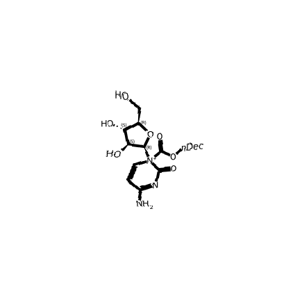 CCCCCCCCCCOC(=O)[N+]1([C@@H]2O[C@H](CO)[C@@H](O)[C@@H]2O)C=CC(N)=NC1=O